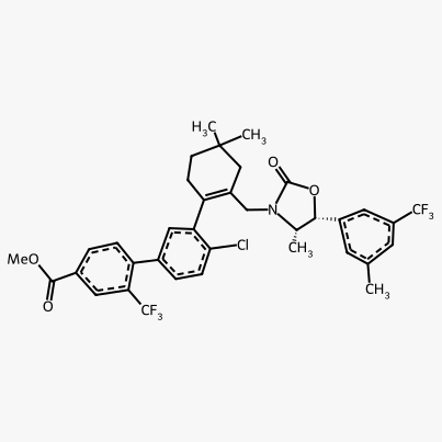 COC(=O)c1ccc(-c2ccc(Cl)c(C3=C(CN4C(=O)O[C@H](c5cc(C)cc(C(F)(F)F)c5)[C@@H]4C)CC(C)(C)CC3)c2)c(C(F)(F)F)c1